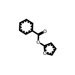 O=C(Oc1ccco1)c1ccccc1